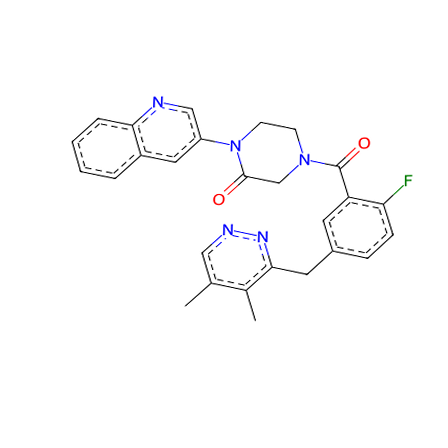 Cc1cnnc(Cc2ccc(F)c(C(=O)N3CCN(c4cnc5ccccc5c4)C(=O)C3)c2)c1C